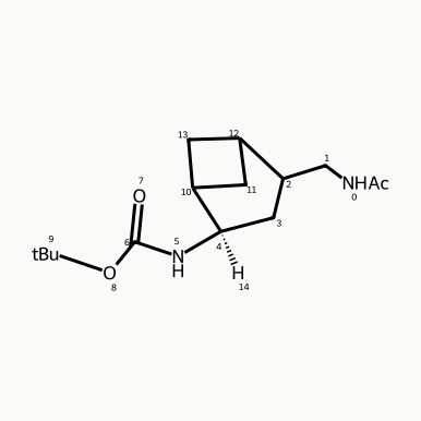 CC(=O)NCC1C[C@@H](NC(=O)OC(C)(C)C)C2CC1C2